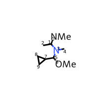 CNC(C)N(C)C(OC)C1CC1